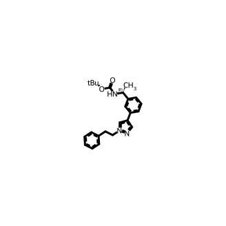 C[C@@H](NC(=O)OC(C)(C)C)c1cccc(-c2cnn(CCc3ccccc3)c2)c1